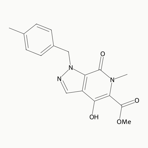 COC(=O)c1c(O)c2cnn(Cc3ccc(C)cc3)c2c(=O)n1C